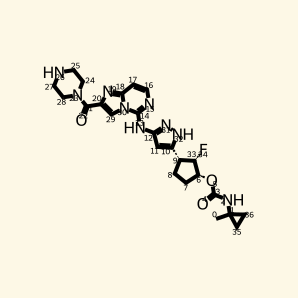 CC1(NC(=O)O[C@@H]2CC[C@H](c3cc(Nc4nccc5nc(C(=O)N6CCNCC6)cn45)n[nH]3)[C@@H]2F)CC1